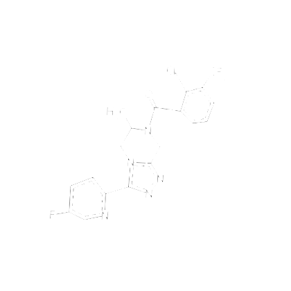 CC1Cn2c(nnc2-c2ccc(F)cn2)CN1C(=O)c1cccc(C(F)(F)F)c1Cl